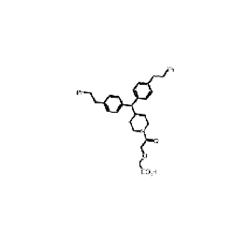 CC(C)CCc1ccc(C(c2ccc(CCC(C)C)cc2)C2CCN(C(=O)COCC(=O)O)CC2)cc1